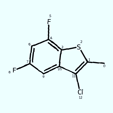 Cc1sc2c(F)cc(F)cc2c1Cl